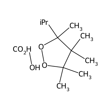 CC(C)C1(C)OOC(C)(C)C1(C)C.O=C(O)O